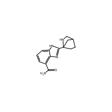 NC(=O)c1cccc2[nH]c(C34CCC(CN3)C4)nc12